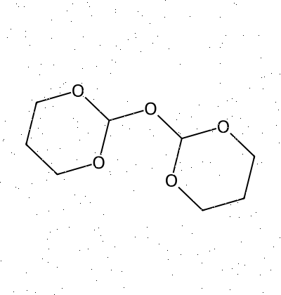 C1COC(OC2OCCCO2)OC1